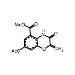 C=C1Oc2cc(OC(C)=O)cc(C(=O)OC)c2NC1=O